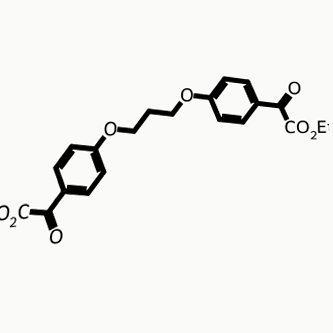 CCOC(=O)C(=O)c1ccc(OCCCOc2ccc(C(=O)C(=O)OCC)cc2)cc1